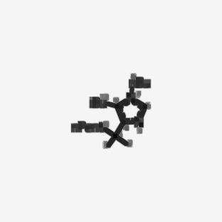 CCCCCC(C)(C)c1ncn(CCCC)c1C(C)CC